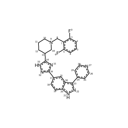 Fc1cccc(F)c1CN1CCCC(c2nc(-c3ccc4[nH]nc(-c5ccncc5)c4c3)n[nH]2)C1